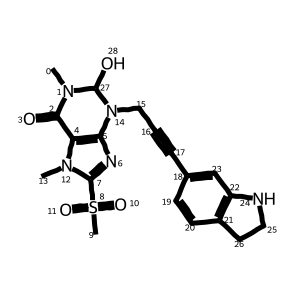 CN1C(=O)c2c(nc(S(C)(=O)=O)n2C)N(CC#Cc2ccc3c(c2)NCC3)C1O